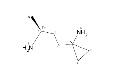 C[C@H](N)CCC1(N)CC1